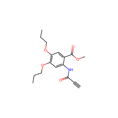 C#CC(=O)Nc1cc(OCCC)c(OCCC)cc1C(=O)OC